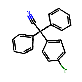 N#CC(c1ccccc1)(c1ccccc1)c1ccc(F)cc1